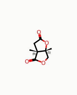 C[C@@]12COC(=O)[C@]1(C)CC(=O)O2